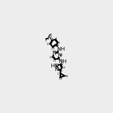 CN(C)c1ccc(Nc2nccc(Nc3cc(C4CC4)n[nH]3)n2)cc1